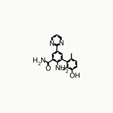 Cc1ccc(O)c(C)c1-c1cc(-c2ncccn2)cc(C(N)=O)c1N